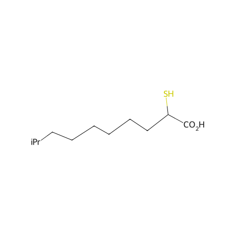 CC(C)CCCCCCC(S)C(=O)O